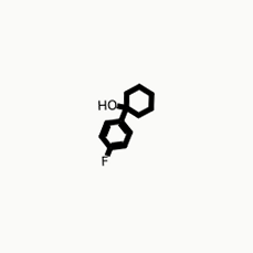 OC1(c2ccc(F)cc2)CCCCC1